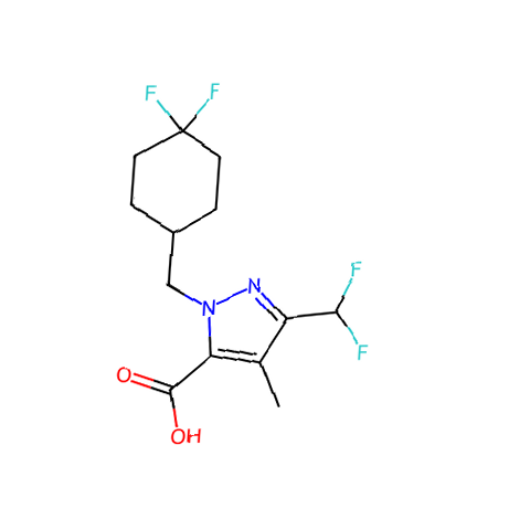 Cc1c(C(F)F)nn(CC2CCC(F)(F)CC2)c1C(=O)O